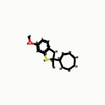 COc1ccc2c(c1)SC(C)(C1CCCCCC1)C2